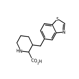 O=C(O)C1NCCCC1Cc1ccc2scnc2c1